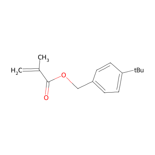 C=C(C)C(=O)OCc1ccc(C(C)(C)C)cc1